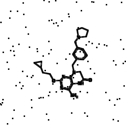 Nc1nc(OCCC2CC2)nc2c1NC(=O)CN2Cc1cccc(CN2CCCC2)c1